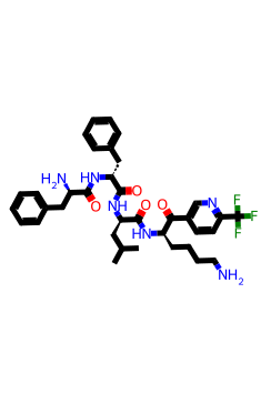 CC(C)C[C@@H](NC(=O)[C@@H](Cc1ccccc1)NC(=O)[C@H](N)Cc1ccccc1)C(=O)N[C@H](CCCCN)C(=O)c1ccc(C(F)(F)F)nc1